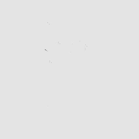 CC[C@@H](CC(=O)N[C@@H](CC(C)(C)C)C(=O)NC(CC1CCNC1=O)C(=O)C(=O)NC1CC1)c1ccc(OS(C)(=O)=O)cc1Cl